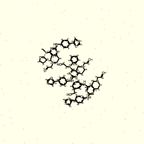 CN(c1nc(Nc2ccc(-c3cnco3)cc2)nc2c1CN(CC=O)CC2)[C@@H]1CCCO1.O=CCN1CCc2nc(Nc3ccc(-c4cnco4)cc3)nc(N(CCO)c3ccccc3)c2C1.O=CCN1CCc2nc(Nc3ccc(-c4cnco4)cc3)nc(Nc3cccc(CO)c3)c2C1